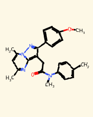 COc1ccc(-c2nn3c(C)cc(C)nc3c2CC(=O)N(C)c2ccc(C)cc2)cc1